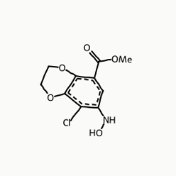 COC(=O)c1cc(NO)c(Cl)c2c1OCCO2